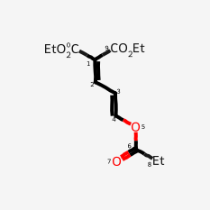 CCOC(=O)C(=C/C=C/OC(=O)CC)C(=O)OCC